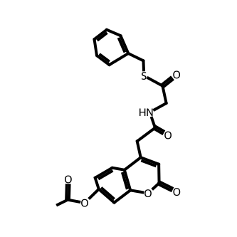 CC(=O)Oc1ccc2c(CC(=O)NCC(=O)SCc3ccccc3)cc(=O)oc2c1